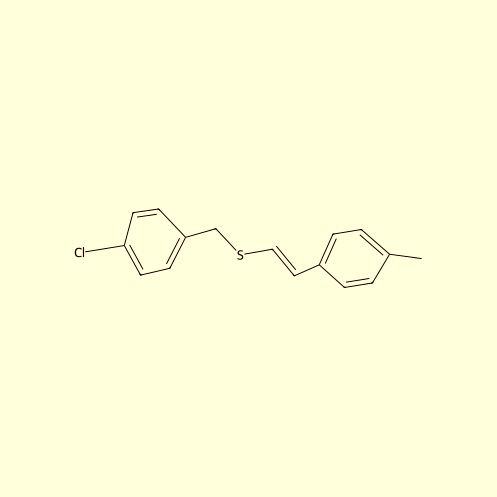 Cc1ccc(C=CSCc2ccc(Cl)cc2)cc1